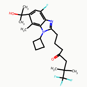 Cc1c(C(C)(C)O)cc(F)c2nc(CCCC(=O)CC(C)(C)C(F)(F)F)n(C3CCC3)c12